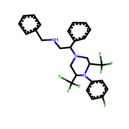 Fc1ccc(N2C(C(F)(F)F)CN(C(CNCc3ccccc3)c3ccccc3)CC2C(F)(F)F)cc1